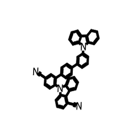 N#Cc1ccc(-n2c3ccccc3c3c(C#N)cccc32)c(-c2ccc(-c3cccc(-n4c5c(c6ccccc64)CCC=C5)c3)cc2)c1